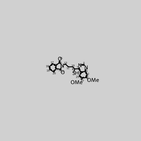 COc1cc2ncnc(C(S)CCCN3C(=O)c4ccccc4C3=O)c2cc1OC